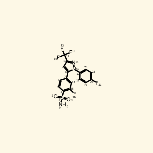 NS(=O)(=O)c1ccc(-c2cc(C(F)(F)F)nn2-c2ccc(F)cc2)cc1F